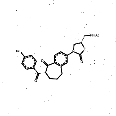 CC(=O)NC[C@H]1CN(c2ccc3c(c2)CCC[C@H](C(=O)c2ccc(C#N)cc2)C3=O)C(=O)O1